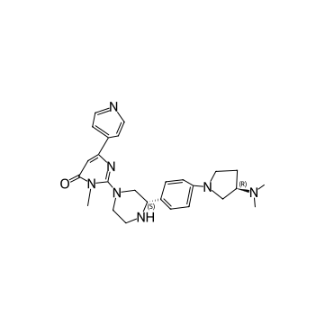 CN(C)[C@@H]1CCN(c2ccc([C@H]3CN(c4nc(-c5ccncc5)cc(=O)n4C)CCN3)cc2)C1